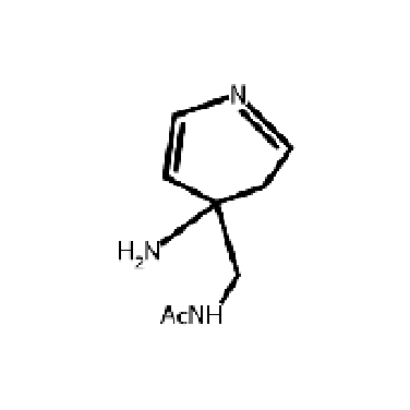 CC(=O)NCC1(N)C=CN=CC1